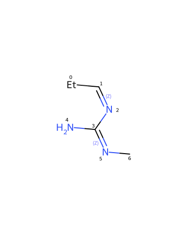 CC/C=N\C(N)=N/C